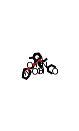 Cc1cccc(F)c1COC1CC2CCC(C1)N2CC(O)Cn1nc(C)n(C2CCOCC2)c1=O